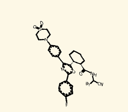 CC(C)C(C#N)NC(=O)[C@@H]1CCCC[C@H]1c1oc(-c2ccc(F)cc2)nc1-c1ccc(N2CCS(=O)(=O)CC2)cc1